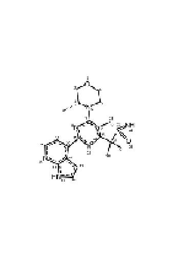 C[C@@H]1COCCN1c1nc(-c2ccnc3[nH]ccc23)nc2c1C[S@](=N)(=O)C2(C)C